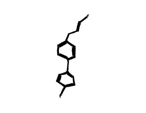 F/C=C/Cc1ccc(-c2ccc(F)cc2)cc1